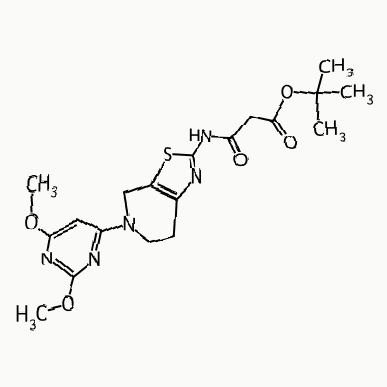 COc1cc(N2CCc3nc(NC(=O)CC(=O)OC(C)(C)C)sc3C2)nc(OC)n1